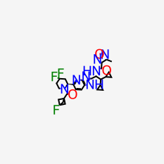 Cc1nonc1C(=O)N[C@@H](c1nc2nc([C@@H]3CC(F)(F)CCN3C(=O)C34CC(F)(C3)C4)ccc2[nH]1)C(C1CC1)C1CC1